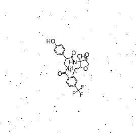 CC1OCC(=O)C1(C)NC(=O)C(CNC(=O)c1ccc(C(F)(F)F)cc1)c1ccc(O)cc1